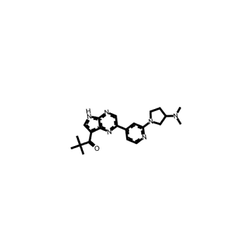 CN(C)C1CCN(c2cc(-c3cnc4[nH]cc(C(=O)C(C)(C)C)c4n3)ccn2)C1